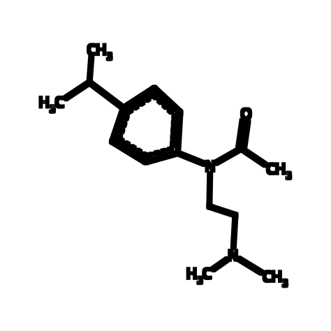 CC(=O)N(CCN(C)C)c1ccc(C(C)C)cc1